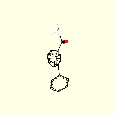 NNC(=O)[C]12[CH]3[CH]4[C]5(c6ccccc6)[CH]1[Fe]34251678[CH]2[CH]1[CH]6[CH]7[CH]28